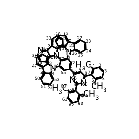 Cc1cccc(C)c1-c1cc(-c2cc(-n3c4ccccc4c4ccccc43)c(-n3c4ccccc4c4ncccc43)c(-n3c4ccccc4c4ccccc43)c2)nc(-c2c(C)cccc2C)n1